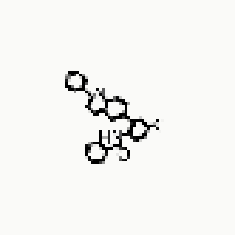 O=C(Nc1ccc(Cl)cc1-c1ccc2nc(-c3ccccc3)ccc2c1)c1ccccc1